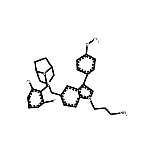 NCCCn1cc(-c2ccc(OC(F)(F)F)cc2)c2cc(CN3CC4CCC(C3)N4Cc3c(Cl)cccc3Cl)ccc21